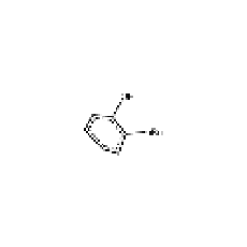 CCCCc1ccccc1O